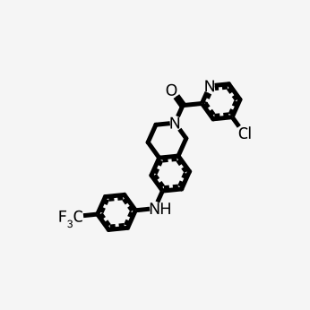 O=C(c1cc(Cl)ccn1)N1CCc2cc(Nc3ccc(C(F)(F)F)cc3)ccc2C1